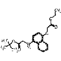 CCOC(=O)COc1ccc(NCC(=O)OC(C)(C)C)c2ccccc12